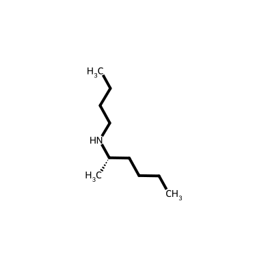 CCCCN[C@@H](C)CCCC